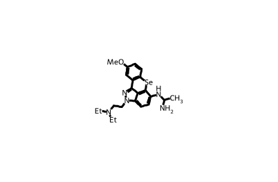 CCN(CC)CCn1nc2c3c(c(NC(C)N)ccc31)[Se]c1ccc(OC)cc1-2